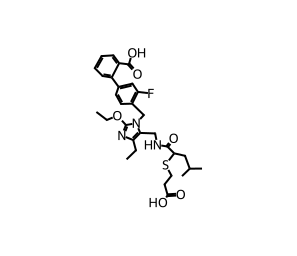 CCOc1nc(CC)c(CNC(=O)C(CC(C)C)SCCC(=O)O)n1Cc1ccc(-c2ccccc2C(=O)O)cc1F